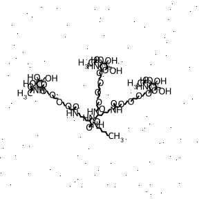 CCCCCCNC(=O)C(CCCCNC(=O)COCCOCCOCCO[C@@H]1O[C@H](CO)[C@H](O)[C@H](O)[C@H]1NC(C)=O)NC(=O)C(CCCCNC(=O)COCCOCCOCCO[C@@H]1O[C@H](CO)[C@H](O)[C@H](O)[C@H]1NC(C)=O)NC(=O)COCCOCCOCCO[C@@H]1O[C@H](CO)[C@H](O)[C@H](O)[C@H]1NC(C)=O